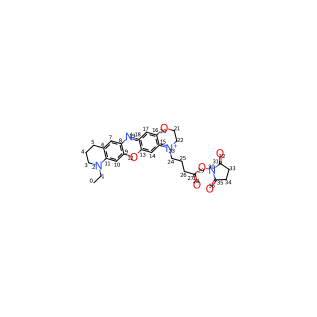 CCN1CCCc2cc3c(cc21)Oc1cc2c(cc1=N3)OCC[N+]=2CCCC(=O)ON1C(=O)CCC1=O